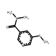 CSc1cncc(C(=O)N(C)C)c1